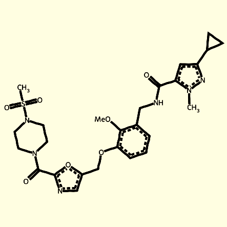 COc1c(CNC(=O)c2cc(C3CC3)nn2C)cccc1OCc1cnc(C(=O)N2CCN(S(C)(=O)=O)CC2)o1